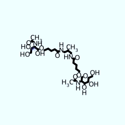 CC(=O)N/C(=C(\O)CO)C(O)OCCCCC(=O)NCC(C)CNC(=O)CCCCOC1OC(CO)C(O)C(O)C1NC(C)=O